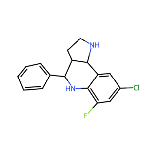 Fc1cc(Cl)cc2c1NC(c1ccccc1)C1CCNC21